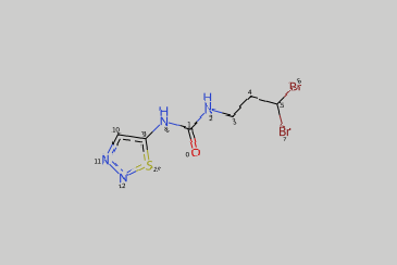 O=C(NCCC(Br)Br)Nc1cnns1